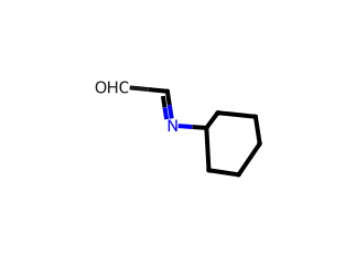 O=CC=NC1CCCCC1